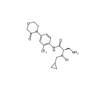 CCN(CC1CC1)[C@H](CN)C(=O)Nc1ccc(N2CCOCC2=O)cc1C(F)(F)F